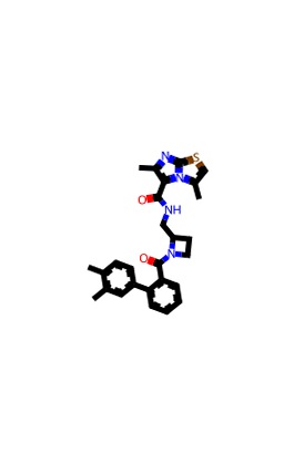 Cc1ccc(-c2ccccc2C(=O)N2CCC2CNC(=O)c2c(C)nc3scc(C)n23)cc1C